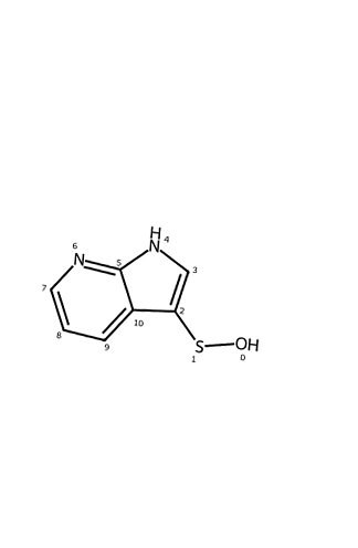 OSc1c[nH]c2ncccc12